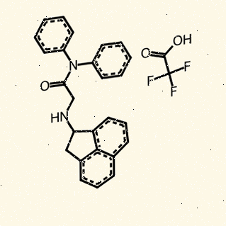 O=C(CNC1Cc2cccc3cccc1c23)N(c1ccccc1)c1ccccc1.O=C(O)C(F)(F)F